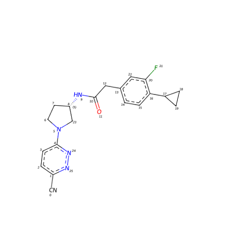 N#Cc1ccc(N2CC[C@H](NC(=O)Cc3ccc(C4CC4)c(F)c3)C2)nn1